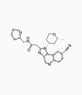 C[C@@H]1C[C@H](n2c(CC(=O)NCc3ccccn3)nc3cnc4ccc(C#N)cc4c32)CCO1